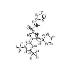 CC(C)(C)c1cc(-c2sc(C(=O)NCC3CCOC3)nc2CC2CCCCC2)cc(C2(C)CC2)c1